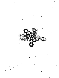 CNC(=O)C(CC(O)C(CC1CCCCC1)NC(=O)[C@H](Cc1cscn1)NC(=O)C(CC(=O)N1CCOCC1)Cc1cccc2ccccc12)C(C)(C)O